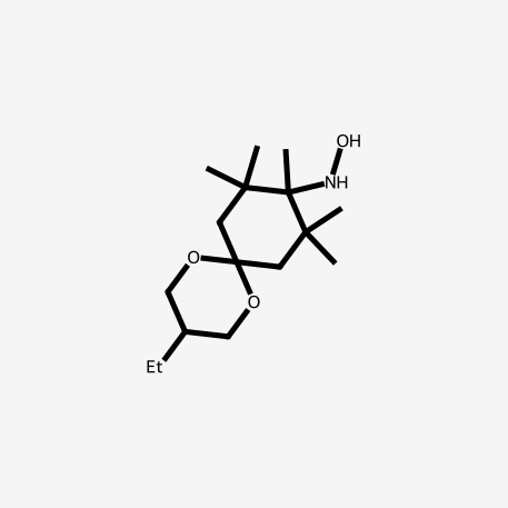 CCC1COC2(CC(C)(C)C(C)(NO)C(C)(C)C2)OC1